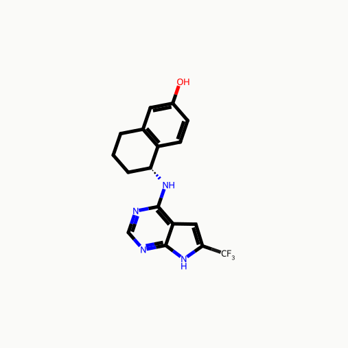 Oc1ccc2c(c1)CCC[C@H]2Nc1ncnc2[nH]c(C(F)(F)F)cc12